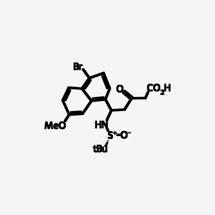 COc1ccc2c(Br)ccc(C(CC(=O)CC(=O)O)N[S@+]([O-])C(C)(C)C)c2c1